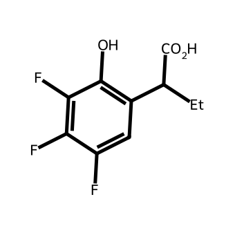 CCC(C(=O)O)c1cc(F)c(F)c(F)c1O